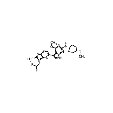 COc1nc(N[C@H]2CC[C@@H](OC)CC2)nc2[nH]cc(-c3ccc4nc(C)n(CC(F)F)c4n3)c12